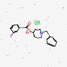 Cl.O=C(OC1CCN(Cc2ccccc2)CC1)c1cccc(I)c1